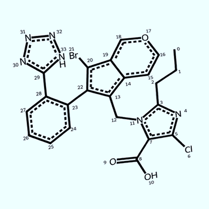 CCCc1nc(Cl)c(C(=O)O)n1Cc1c2ccocc-2c(Br)c1-c1ccccc1-c1nnn[nH]1